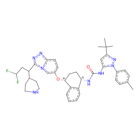 Cc1ccc(-n2nc(C(C)(C)C)cc2NC(=O)N[C@H]2CC[C@@H](Oc3ccc4nnc(C(CC(F)F)C5CCNCC5)n4c3)c3ccccc32)cc1